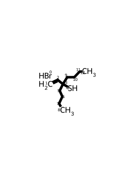 Br.C=CC(S)(CCCC)CCCC